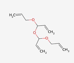 C=CCOC(C=C)OC(C=C)OCC=C